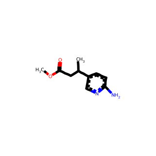 COC(=O)CC(C)c1ccc(N)nc1